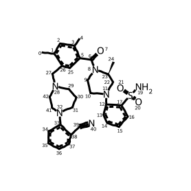 Cc1cc(C)c(C(=O)N2CCN(c3ccccc3S(N)(=O)=O)C[C@@H]2C)cc1CN1CCCN(c2ccccc2C#N)CC1